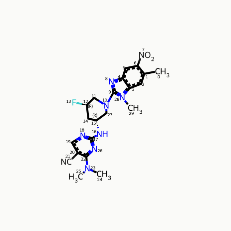 Cc1cc2c(cc1[N+](=O)[O-])nc(N1C[C@H](F)C[C@@H](Nc3ncc(C#N)c(N(C)C)n3)C1)n2C